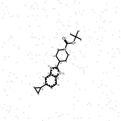 CC(C)(C)OC(=O)N1CCC(c2nc3cc(C4CC4)ccc3o2)CC1